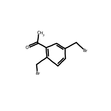 CC(=O)c1cc(CBr)ccc1CBr